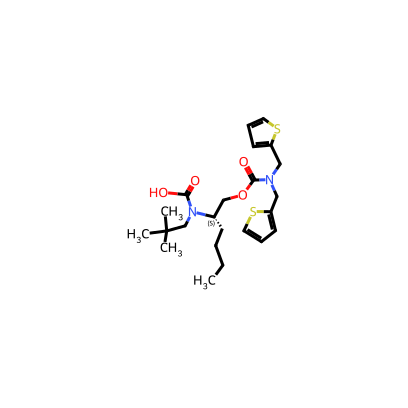 CCCC[C@@H](COC(=O)N(Cc1cccs1)Cc1cccs1)N(CC(C)(C)C)C(=O)O